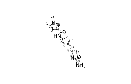 Cc1cc(C(=O)Nc2ccc(CCC3COC(N)=N3)cc2)nn1C